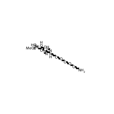 COOP(O)OCC1OC(n2cnc3c(NCCCOCCOCCOCCOCCOCCCN)ncnc32)C(O)C1O